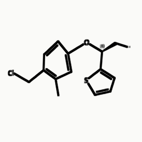 [CH2]C[C@H](Oc1ccc(CCl)c(C)c1)c1cccs1